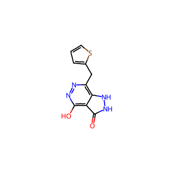 O=c1[nH][nH]c2c(Cc3cccs3)nnc(O)c12